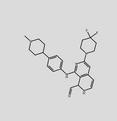 CN1CCC(c2ccc(Nc3nc(N4CCC(F)(F)CC4)cc4c3C(C=O)NC=C4)cc2)CC1